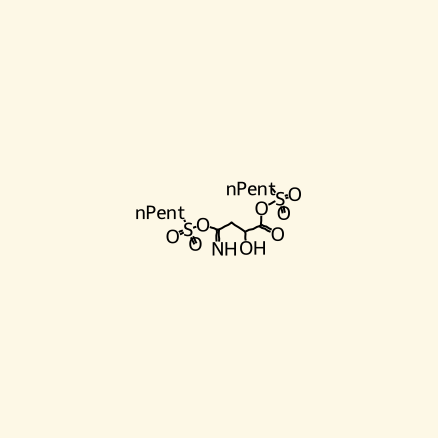 CCCCCS(=O)(=O)OC(=N)CC(O)C(=O)OS(=O)(=O)CCCCC